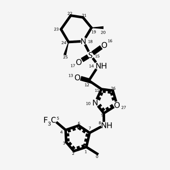 Cc1ccc(C(F)(F)F)cc1Nc1nc(C(=O)NS(=O)(=O)N2[C@H](C)CCC[C@@H]2C)co1